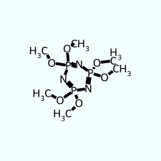 COP1(OC)=NP(OC)(OC)=NP(OC)(OC)=N1